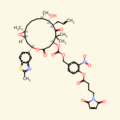 C=CC[C@H]1C(=O)C(C)(C)[C@@H](OC(=O)OCc2ccc(OC(=O)CCCN3C(=O)C=CC3=O)c([N+](=O)[O-])c2)CC(=O)O[C@H](c2ccc3sc(C)nc3c2)C[C@H]2O[C@@]2(C)CCC[C@H](C)[C@@H]1O